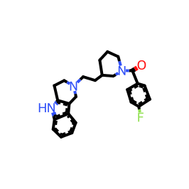 O=C(c1ccc(F)cc1)N1CCCC(CCN2CCc3[nH]c4ccccc4c3C2)C1